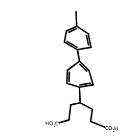 Cc1ccc(-c2ccc(C(CCC(=O)O)CCC(=O)O)cc2)cc1